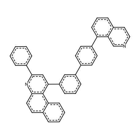 c1ccc(-c2cc(-c3cccc(-c4ccc(-c5cccc6ccncc56)cc4)c3)c3c(ccc4ccccc43)n2)cc1